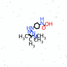 Cc1nc(NC2CCC(NC(=O)O)CC2)nc(N(C)C)c1C